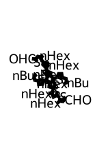 CCCCCCc1cc(C=O)sc1-c1cc(CCCCCC)c(-c2cc3c(-c4ccc(CC(CCCC)CCCCCC)s4)c4sc(-c5sc(-c6sc(C=O)cc6CCCCCC)cc5CCCCCC)cc4c(-c4ccc(CC(CCCC)CCCCCC)s4)c3s2)s1